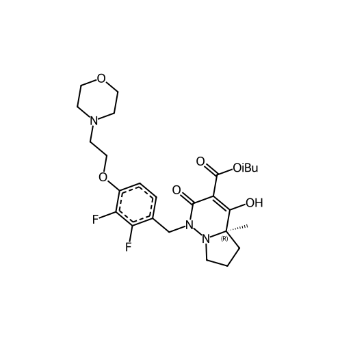 CC(C)COC(=O)C1=C(O)[C@@]2(C)CCCN2N(Cc2ccc(OCCN3CCOCC3)c(F)c2F)C1=O